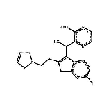 COc1nccnc1C(C)C1=C(CCN2CC=CC2)Cc2cc(F)ccc21